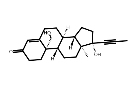 CC#C[C@]1(O)CC[C@H]2[C@@H]3CCC4=CC(=O)CC[C@]4(CO)[C@H]3CC[C@@]21C